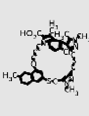 Cc1c(C(=O)O)n2c3ccc(Cl)c(c13)-c1c(nn(C)c1C)CSCc1cc(n(C)n1)CSc1cc3c(c(c1)OCCC2)CC(C)CC3